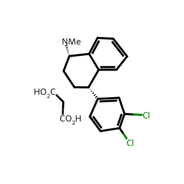 CN[C@H]1CC[C@@H](c2ccc(Cl)c(Cl)c2)c2ccccc21.O=C(O)CC(=O)O